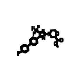 COC(=O)C1CN(c2nc(-c3ccc(-c4ccc(F)cc4)cc3)c(C(F)(F)F)s2)CCO1